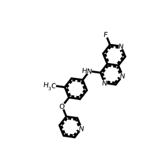 Cc1cc(Nc2ncnc3cnc(F)cc23)ccc1Oc1cccnc1